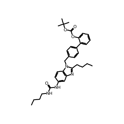 CCCCNC(=O)Nc1ccc2c(c1)nc(CCCC)n2Cc1ccc(-c2ccccc2OC(=O)OC(C)(C)C)cc1